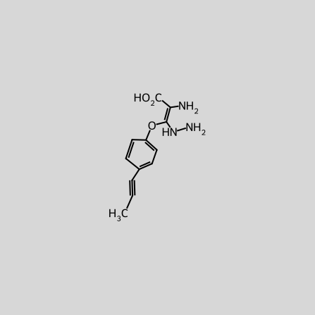 CC#Cc1ccc(O/C(NN)=C(/N)C(=O)O)cc1